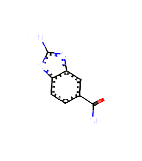 NC(=O)c1ccc2nc(N)[nH]c2c1